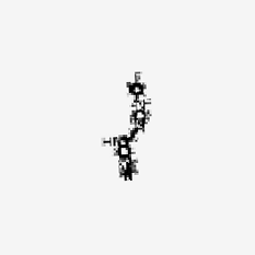 CN(Cc1ccc(F)cc1)C1CCN(CCCc2c[nH]c3ccc(Cn4cncn4)cc23)CC1